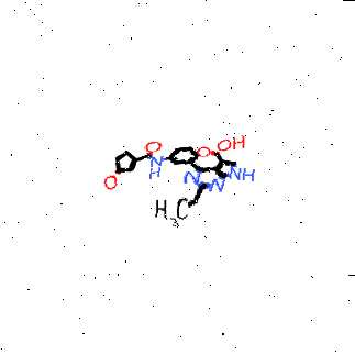 CCc1nc(-c2cccc(NC(=O)C3=CC(=O)CC3)c2)c2c(C(=O)O)c[nH]c2n1